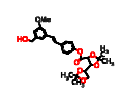 COc1cc(/C=C/c2ccc(OC(=O)C3OC(C)(C)OC3C3COC(C)(C)O3)cc2)cc(CO)c1